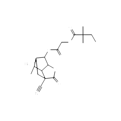 CCC(C)(C)C(=O)OCC(=O)OC1C2OC(=O)C3(C#N)CC1[C@H](C)C23